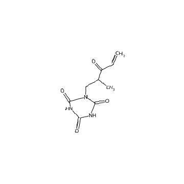 C=CC(=O)C(C)Cn1c(=O)[nH]c(=O)[nH]c1=O